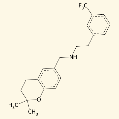 CC1(C)CCc2cc(CNCCc3cccc(C(F)(F)F)c3)ccc2O1